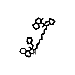 C=C(/C=C/C=C/C=C/C=C/C=C1/N(C)c2ccc3c(c2C1(C)Cc1ccccc1)CCCC3)C(C)(Cc1ccccc1)c1c(C)ccc2c1CCCC2